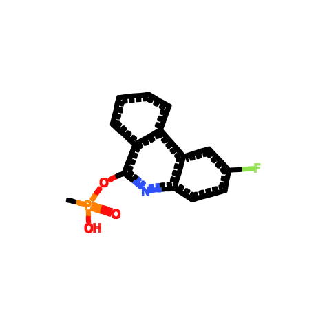 CP(=O)(O)Oc1nc2ccc(F)cc2c2ccccc12